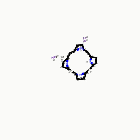 C1=Cc2cc3ccc(cc4nc(cc5ccc(cc1n2)[nH]5)C=C4)[nH]3.I.I.I.I.[Zn]